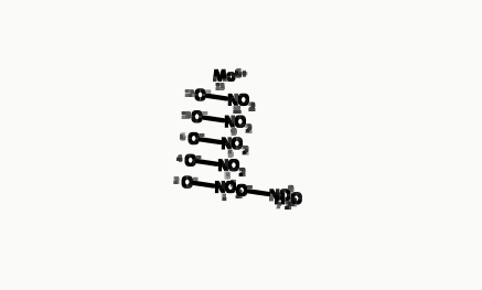 O.O=[N+]([O-])[O-].O=[N+]([O-])[O-].O=[N+]([O-])[O-].O=[N+]([O-])[O-].O=[N+]([O-])[O-].O=[N+]([O-])[O-].[Mo+6]